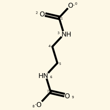 [O]C(=O)NCCNC([O])=O